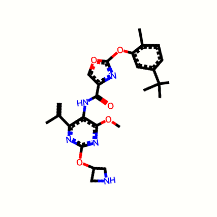 C=C(C)c1nc(OC2CNC2)nc(OC)c1NC(=O)c1coc(Oc2cc(C(C)(C)C)ccc2C)n1